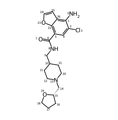 Nc1c(Cl)cc(C(=O)NCC2CCN(C[C@@H]3CCCO3)CC2)c2occc12